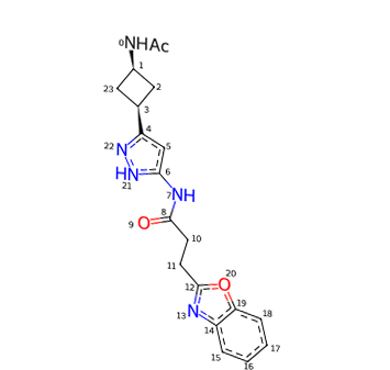 CC(=O)N[C@H]1C[C@@H](c2cc(NC(=O)CCc3nc4ccccc4o3)[nH]n2)C1